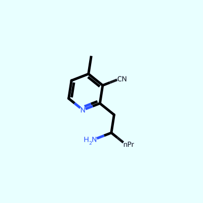 CCCC(N)Cc1nccc(C)c1C#N